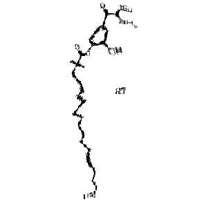 CC(C)(C)CCCCCCCCCCCCCCC(C)(C)C(=O)Oc1ccc(C(=O)C(N)C(C)(C)C)cc1O.Cl